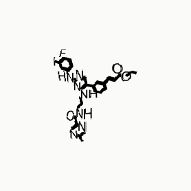 CCOC(=O)/C=C/c1cccc(-c2cnc(Nc3ccc(F)c(I)c3)nc2NCCCNC(=O)c2cnc(C)cn2)c1